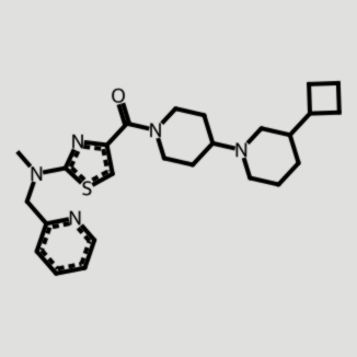 CN(Cc1ccccn1)c1nc(C(=O)N2CCC(N3CCCC(C4CCC4)C3)CC2)cs1